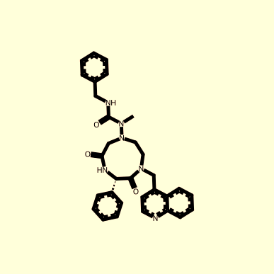 CN(C(=O)NCc1ccccc1)N1CCN(Cc2ccnc3ccccc23)C(=O)[C@H](c2ccccc2)NC(=O)C1